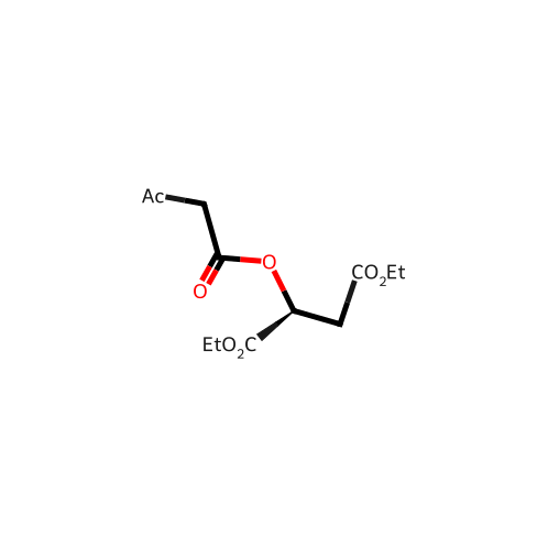 CCOC(=O)C[C@H](OC(=O)CC(C)=O)C(=O)OCC